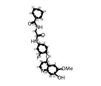 COc1cc2c(Oc3ccc(NC(=O)CNC(=O)c4ccccc4)cc3F)ccnc2cc1O